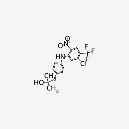 CC(C)(O)Cc1ccc(Nc2cc(Cl)c(C(F)(F)F)cc2[N+](=O)[O-])cc1